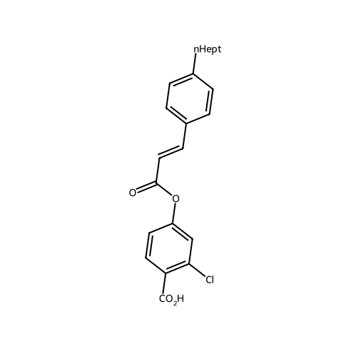 CCCCCCCc1ccc(C=CC(=O)Oc2ccc(C(=O)O)c(Cl)c2)cc1